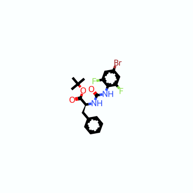 CC(C)(C)OC(=O)[C@H](Cc1ccccc1)NC(=O)Nc1c(F)cc(Br)cc1F